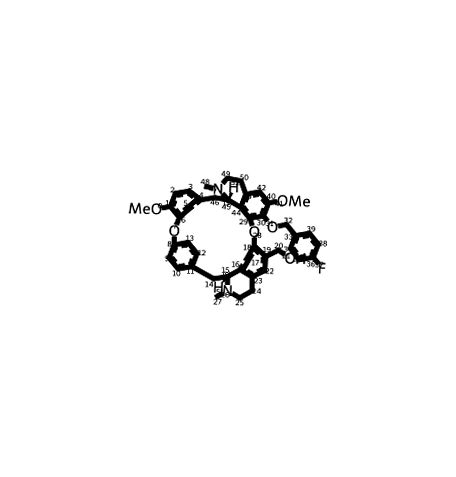 COc1ccc2cc1Oc1ccc(cc1)C[C@H]1c3cc(c(CO)cc3CCN1C)Oc1c(OCc3ccc(F)cc3)c(OC)cc3c1[C@H](C2)N(C)CC3